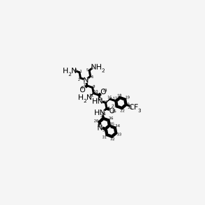 NCCN(CCN)C(=O)C[C@H](N)C(=O)N[C@@H](Cc1ccc(C(F)(F)F)cc1)C(=O)Nc1cnc2ccccc2c1